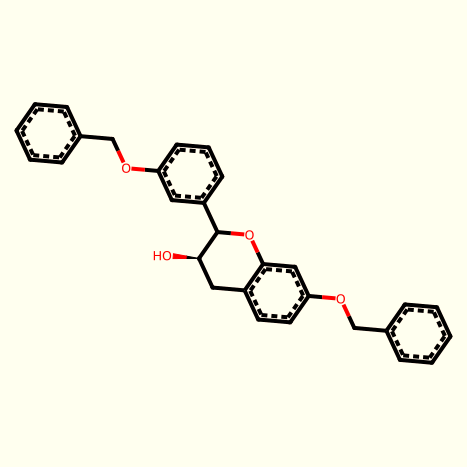 O[C@@H]1Cc2ccc(OCc3ccccc3)cc2OC1c1cccc(OCc2ccccc2)c1